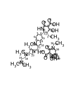 CCc1c(-c2ccc3c(c2)cc(CN2CC(N(C)CCN(C)C)C2)n3C)[nH]c(=O)c(C(=O)O)c1O.CCn1ccc(O)c(C(=O)O)c1=O.Cl.Cl